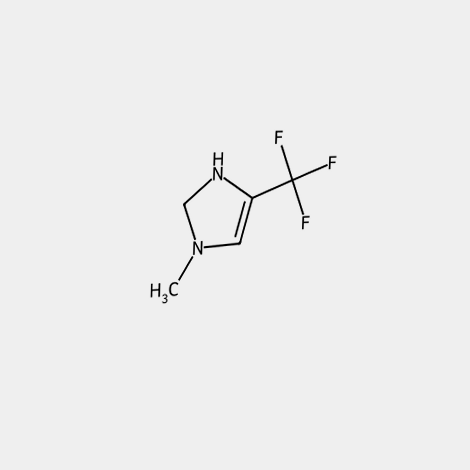 CN1C=C(C(F)(F)F)NC1